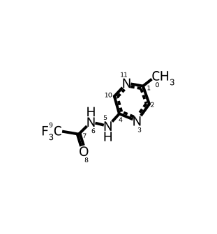 Cc1cnc(NNC(=O)C(F)(F)F)cn1